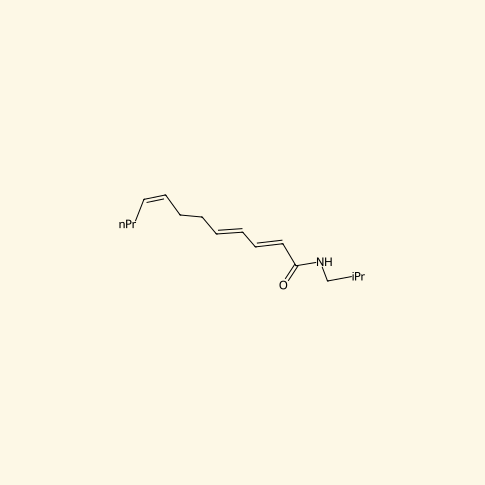 CCC/C=C\CC/C=C/C=C/C(=O)NCC(C)C